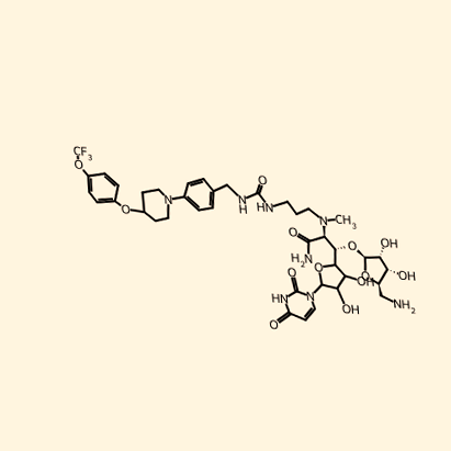 CN(CCCNC(=O)NCc1ccc(N2CCC(Oc3ccc(OC(F)(F)F)cc3)CC2)cc1)[C@H](C(N)=O)[C@H](O[C@@H]1O[C@H](CN)[C@@H](O)[C@H]1O)C1OC(n2ccc(=O)[nH]c2=O)C(O)C1O